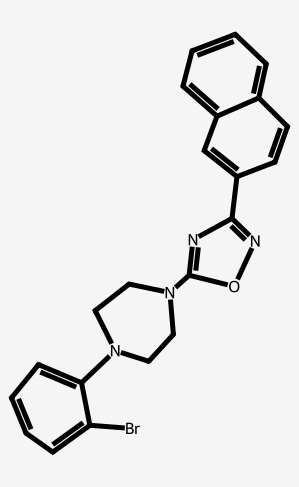 Brc1ccccc1N1CCN(c2nc(-c3ccc4ccccc4c3)no2)CC1